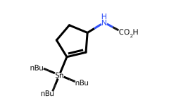 CCC[CH2][Sn]([CH2]CCC)([CH2]CCC)[C]1=CC(NC(=O)O)CC1